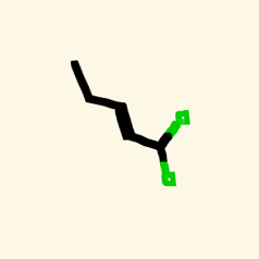 CC/C=C/C(Cl)Cl